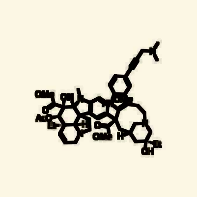 CC[C@]1(O)C[C@H]2CN(CCc3c([nH]c4ccc(C#CCN(C)C)cc34)[C@@](C(=O)OC)(c3cc4c(cc3OC)N(C)[C@H]3[C@@](O)(C(=O)OC)[C@H](OC(C)=O)[C@]5(CC)C=CCN6CC[C@]43[C@@H]65)C2)C1